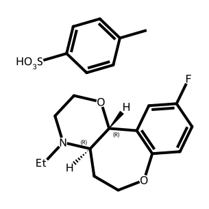 CCN1CCO[C@@H]2c3cc(F)ccc3OCC[C@H]21.Cc1ccc(S(=O)(=O)O)cc1